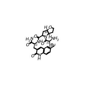 Cc1ccc2[nH]c(=O)c(C[C@H](NC(=O)C3C[C@H]4OCC[C@H]4N3C(=O)[C@@H](N)C(C)(C)C)C(N)=O)cc2c1